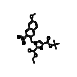 CCOC(=O)c1nc(C(=O)OC(C)(C)C)cn1Cc1cc2ccc(OC)cc2cc1[N+](=O)[O-]